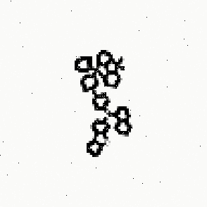 CC1(C)c2cccc3c2-c2c1cccc2C3(c1ccccc1)c1cccc(-c2ccc(N(c3ccc4c(c3)oc3ccccc34)c3cccc4ccccc34)cc2)c1